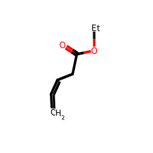 C=C=CCC(=O)OCC